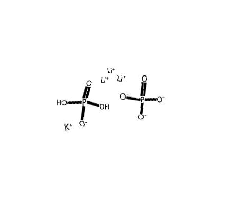 O=P([O-])(O)O.O=P([O-])([O-])[O-].[K+].[Li+].[Li+].[Li+]